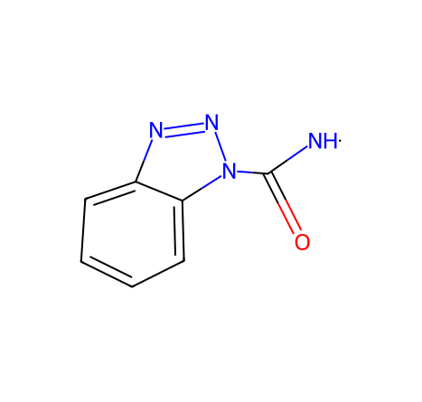 [NH]C(=O)n1nnc2ccccc21